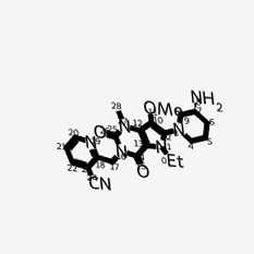 CCn1c(N2CCC[C@@H](N)C2)c(OC)c2c1c(=O)n(Cc1ncccc1C#N)c(=O)n2C